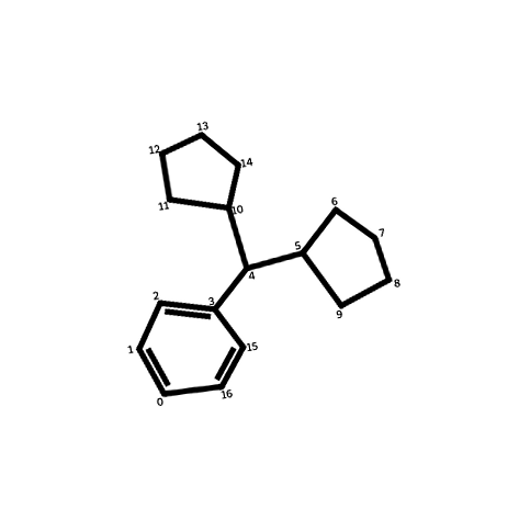 c1ccc(C(C2CCCC2)C2CCCC2)cc1